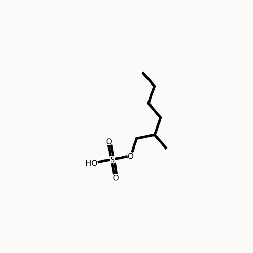 CCCCC(C)COS(=O)(=O)O